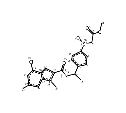 COC(=O)C[S@+]([O-])c1ccc(C(C)NC(=O)c2cc3c(Cl)cc(C)cc3n2C)cc1